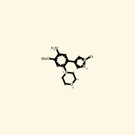 CCn1cc(-c2cc(N)c(OC)cc2N2CCOCC2)cn1